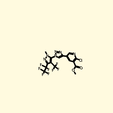 COC(=O)c1cc(-c2cn(-c3c(C(F)(F)F)c(C(F)(F)C(F)(F)F)nn3C)nn2)cnc1Cl